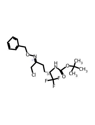 CC(C)(C)OC(=O)N[C@@H](CC/C(CCl)=N/OCc1ccccc1)C(F)(F)F